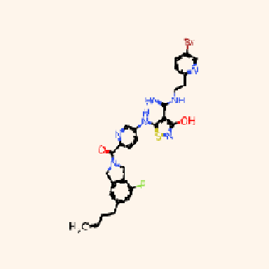 C=CCCc1cc(F)c2c(c1)CN(C(=O)c1ccc(Nc3snc(O)c3C(=N)NCCc3ccc(Br)cn3)cn1)C2